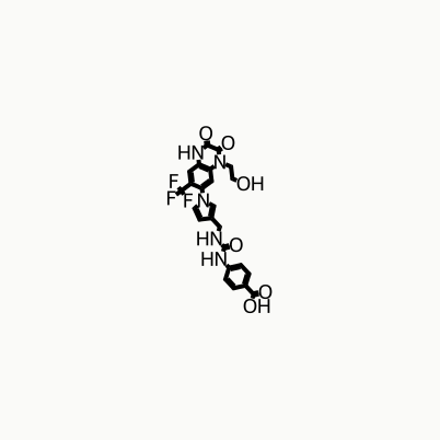 O=C(NCc1ccn(-c2cc3c(cc2C(F)(F)F)[nH]c(=O)c(=O)n3CCO)c1)Nc1ccc(C(=O)O)cc1